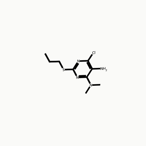 CCCSc1nc(Cl)c(N)c(N(C)C)n1